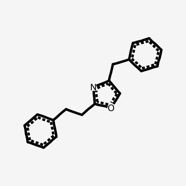 c1ccc(CCc2nc(Cc3ccccc3)co2)cc1